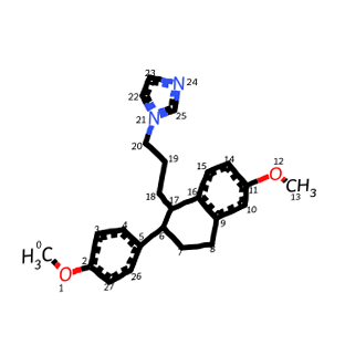 COc1ccc(C2CCc3cc(OC)ccc3C2CCCn2ccnc2)cc1